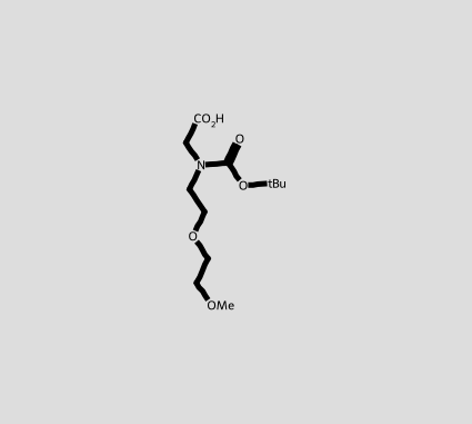 COCCOCCN(CC(=O)O)C(=O)OC(C)(C)C